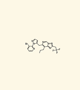 CCCc1c(Cc2ccnn2-c2ncccc2Br)ncn2nc(CC(F)(F)F)nc12